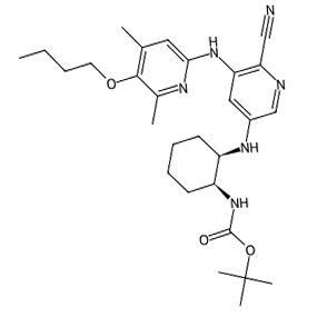 CCCCOc1c(C)cc(Nc2cc(N[C@@H]3CCCC[C@@H]3NC(=O)OC(C)(C)C)cnc2C#N)nc1C